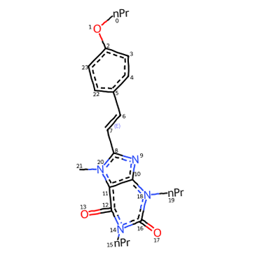 CCCOc1ccc(/C=C/c2nc3c(c(=O)n(CCC)c(=O)n3CCC)n2C)cc1